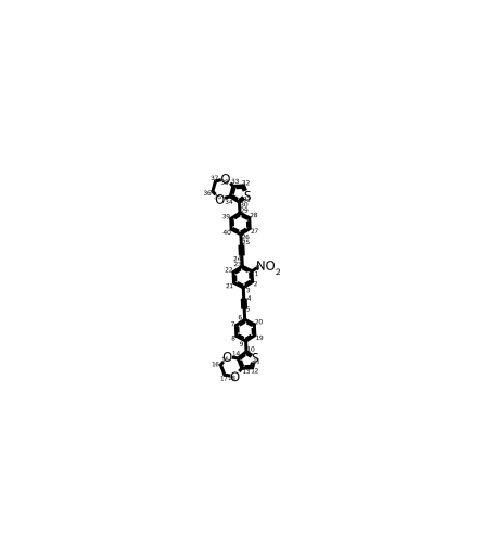 O=[N+]([O-])c1cc(C#Cc2ccc(-c3scc4c3OCCO4)cc2)ccc1C#Cc1ccc(-c2scc3c2OCCO3)cc1